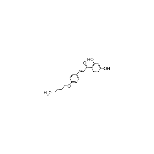 CCCCCOc1ccc(/C=C/C(=O)c2ccc(O)cc2O)cc1